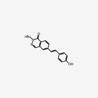 CCCCn1ncc2cc(/C=C/c3ccc(O)cc3)ccc2c1=O